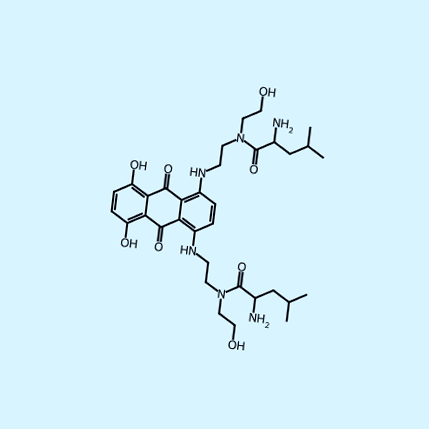 CC(C)CC(N)C(=O)N(CCO)CCNc1ccc(NCCN(CCO)C(=O)C(N)CC(C)C)c2c1C(=O)c1c(O)ccc(O)c1C2=O